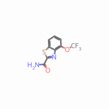 NC(=O)c1nc2c(OC(F)(F)F)cccc2s1